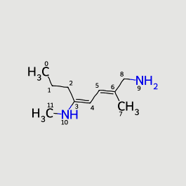 CCC/C(=C\C=C(/C)CN)NC